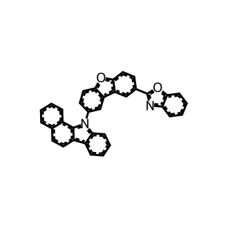 c1ccc2c(c1)ccc1c3ccccc3n(-c3ccc4oc5ccc(-c6nc7ccccc7o6)cc5c4c3)c21